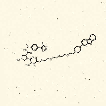 Cc1ncsc1-c1ccc([C@H](C)NC(=O)[C@@H]2C[C@@H](O)CN2C(=O)C(NC(=O)COCCOCCOCCOCCN2CCN(c3ccn4c(n3)nc3ccccc34)CC2)C(C)(C)C)cc1